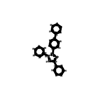 c1ccc(-c2ccc(-n3nc(-c4ccccc4)n[n+]3-c3ccccc3)cc2)cc1